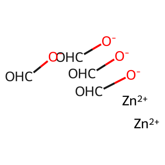 O=C[O-].O=C[O-].O=C[O-].O=C[O-].[Zn+2].[Zn+2]